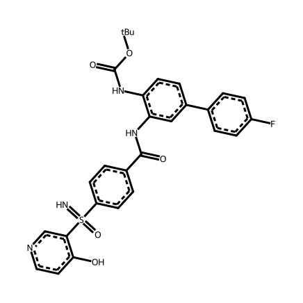 CC(C)(C)OC(=O)Nc1ccc(-c2ccc(F)cc2)cc1NC(=O)c1ccc(S(=N)(=O)c2cnccc2O)cc1